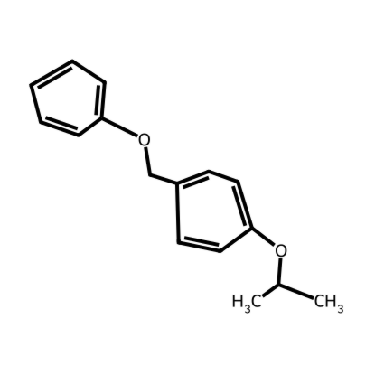 CC(C)Oc1ccc(COc2ccccc2)cc1